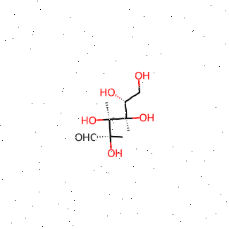 C[C@@](O)([C@@](C)(O)C=O)[C@](C)(O)[C@H](O)CO